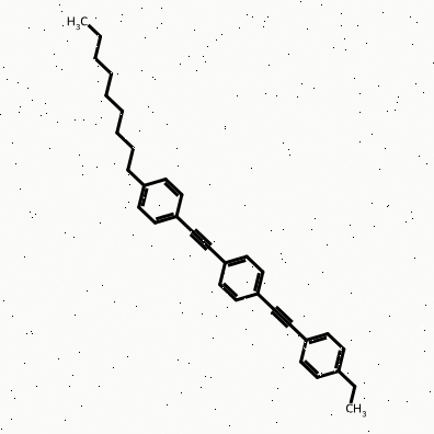 CCCCCCCCCc1ccc(C#Cc2ccc(C#Cc3ccc(CC)cc3)cc2)cc1